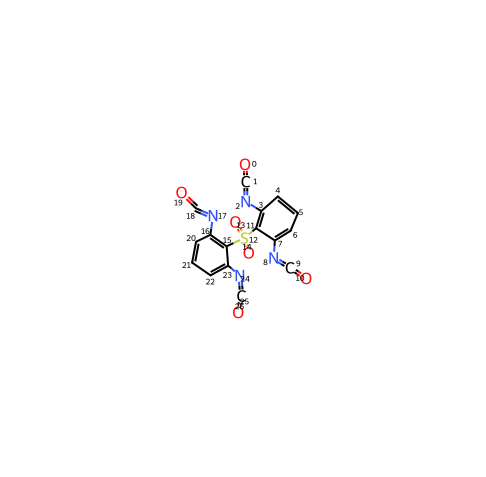 O=C=Nc1cccc(N=C=O)c1S(=O)(=O)c1c(N=C=O)cccc1N=C=O